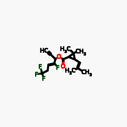 C#CC(OC(=O)C1C(C=C(C)C)C1(C)C)C(F)=CCC(F)(F)F